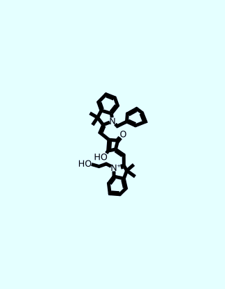 CC1(C)C(/C=C2/C(=O)C(/C=C3\N(Cc4ccccc4)c4ccccc4C3(C)C)=C2O)=[N+](CCO)c2ccccc21